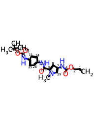 C=CCOC(=O)Nc1cc(C(=O)Nc2ccc(NC(=O)OC(C)(C)C)cc2)n(C)c1